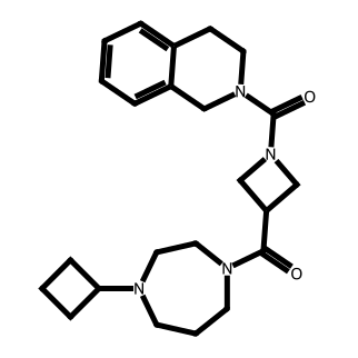 O=C(C1CN(C(=O)N2CCc3ccccc3C2)C1)N1CCCN(C2CCC2)CC1